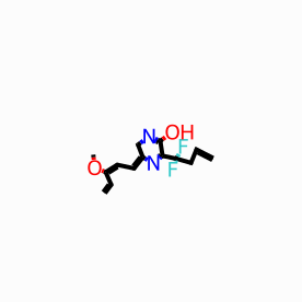 C=CCC(F)(F)C1=N/C(=C/C=C(\C=C)OC)CN=C1O